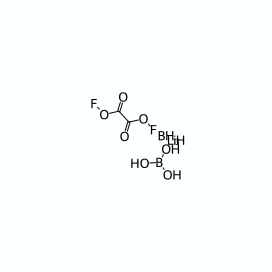 B.O=C(OF)C(=O)OF.OB(O)O.[LiH]